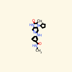 CCNC(=O)c1cccc(Nc2cc3c(cn2)NC(=O)C(C)N3C2CCCC2)c1